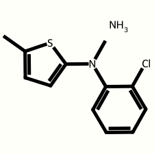 Cc1ccc(N(C)c2ccccc2Cl)s1.N